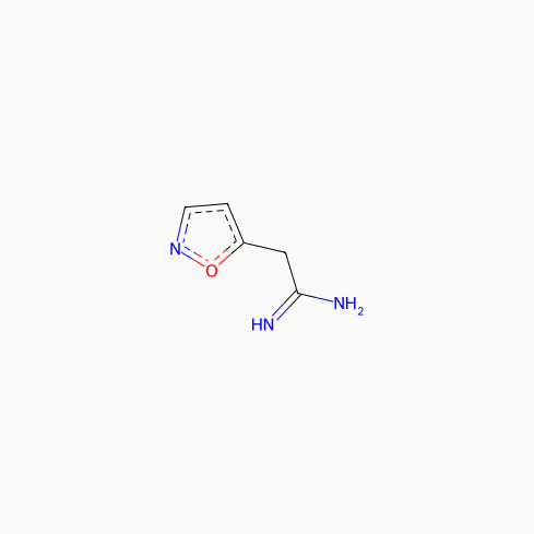 N=C(N)Cc1ccno1